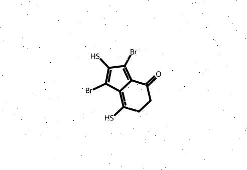 O=C1CCC(S)=C2C(Br)=C(S)C(Br)=C12